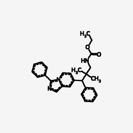 CCOC(=O)NCC(C)(C)C(c1ccccc1)c1ccn2c(-c3ccccc3)ncc2c1